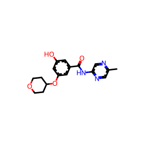 Cc1cnc(NC(=O)c2cc(O)cc(OC3CCOCC3)c2)cn1